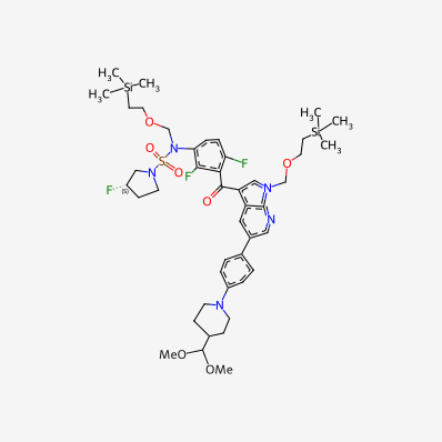 COC(OC)C1CCN(c2ccc(-c3cnc4c(c3)c(C(=O)c3c(F)ccc(N(COCC[Si](C)(C)C)S(=O)(=O)N5CC[C@H](F)C5)c3F)cn4COCC[Si](C)(C)C)cc2)CC1